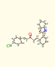 O=C(C=Cc1ccc(Cl)cc1)C=Cc1ccccc1-c1nc2ccccc2s1